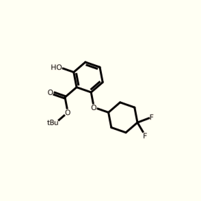 CC(C)(C)OC(=O)c1c(O)cccc1OC1CCC(F)(F)CC1